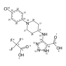 O=C(O)C(F)(F)F.O=C(O)c1[nH]nnc1NC1CCN(c2ccc(Cl)cc2)CC1